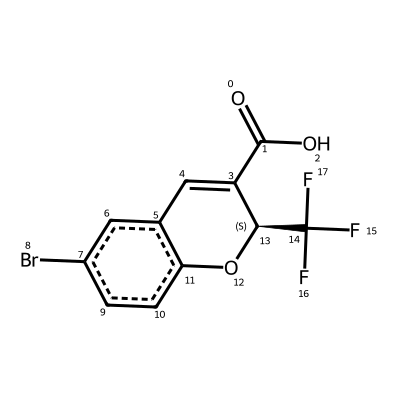 O=C(O)C1=Cc2cc(Br)ccc2O[C@@H]1C(F)(F)F